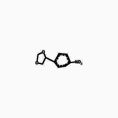 O=[N+]([O-])c1ccc(C2COCO2)cc1